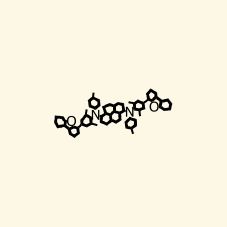 Cc1ccc(N(c2c(C)cc(-c3cccc4c3oc3ccccc34)cc2C)c2ccc3ccc4c(N(c5ccc(C)cc5)c5c(C)cc(-c6cccc7c6oc6ccccc67)cc5C)ccc5ccc2c3c54)cc1